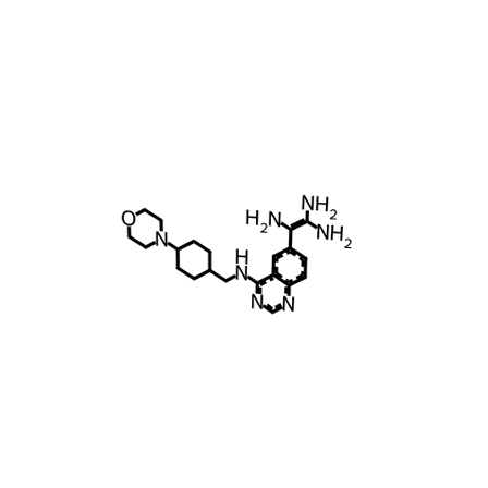 NC(N)=C(N)c1ccc2ncnc(NCC3CCC(N4CCOCC4)CC3)c2c1